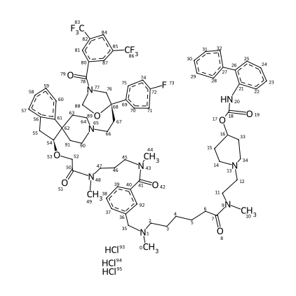 CN(CCCCCC(=O)N(C)CCN1CCC(OC(=O)Nc2ccccc2-c2ccccc2)CC1)Cc1cccc(C(=O)N(C)CCCN(C)C(=O)CO[C@H]2Cc3ccccc3C23CCN(CC[C@]2(c4ccc(F)cc4)CN(C(=O)c4cc(C(F)(F)F)cc(C(F)(F)F)c4)CO2)CC3)c1.Cl.Cl.Cl